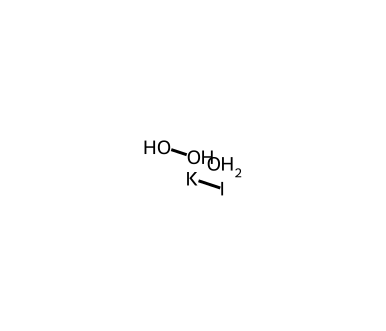 O.OO.[K][I]